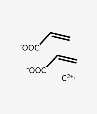 C=CC(=O)[O-].C=CC(=O)[O-].[C+2]